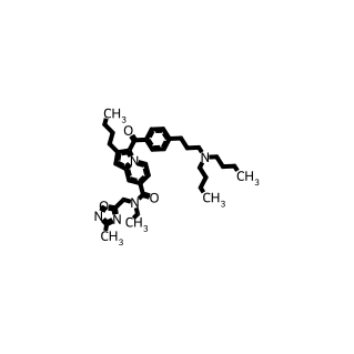 CCCCc1cc2cc(C(=O)N(CC)Cc3nc(C)no3)ccn2c1C(=O)c1ccc(CCCN(CCCC)CCCC)cc1